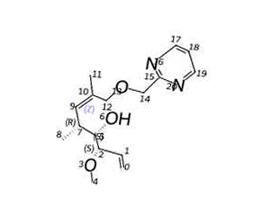 C=C[C@H](OC)[C@@H](O)[C@H](C)/C=C(/C)COCc1ncccn1